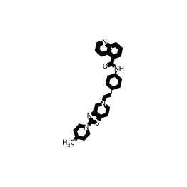 CC1CCN(c2nc3c(s2)CCN(CC[C@H]2CC[C@H](NC(=O)c4cccc5ncccc45)CC2)C3)CC1